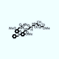 COC(=O)CNC(=O)[C@H](C)NC(=O)CNC(=O)CNC(=O)Cc1c(OC)ccc2c1Sc1c(ccc(OC)c1CNC(=O)OC(C)(C)C)N2Cc1ccccc1